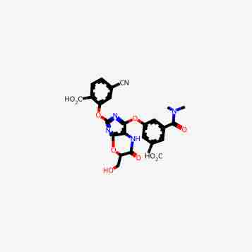 CN(C)C(=O)c1cc(Oc2nc(Oc3cc(C#N)ccc3C(=O)O)nc3c2NC(=O)C(CO)O3)cc(C(=O)O)c1